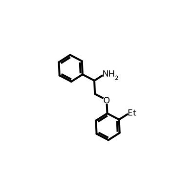 CCc1ccccc1OCC(N)c1ccccc1